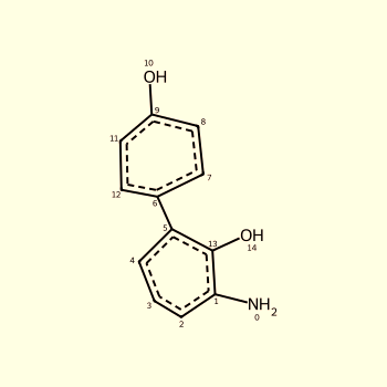 Nc1cccc(-c2ccc(O)cc2)c1O